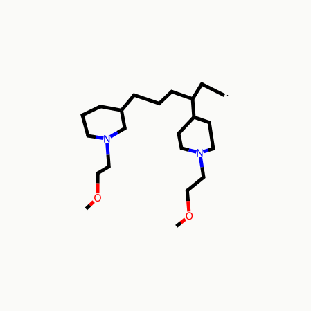 [CH2]CC(CCCC1CCCN(CCOC)C1)C1CCN(CCOC)CC1